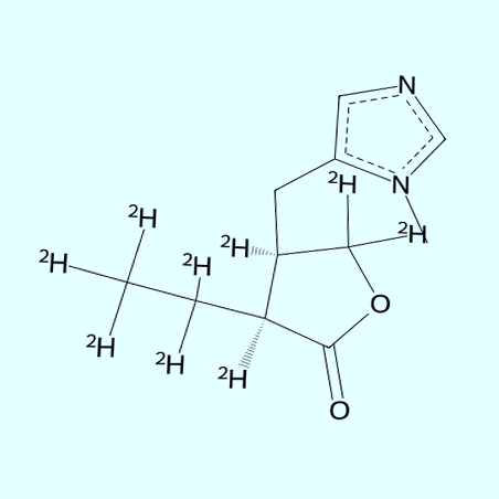 [2H]C([2H])([2H])C([2H])([2H])[C@]1([2H])C(=O)OC([2H])([2H])[C@]1([2H])Cc1cncn1C